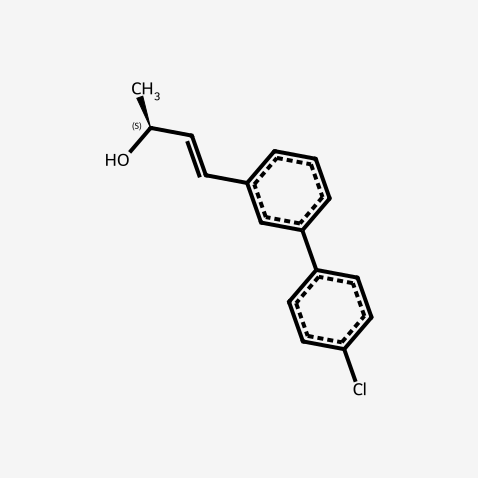 C[C@H](O)C=Cc1cccc(-c2ccc(Cl)cc2)c1